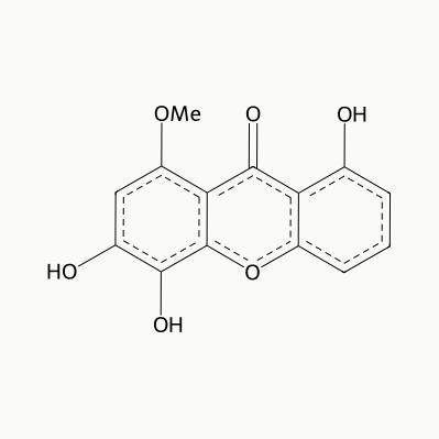 COc1cc(O)c(O)c2oc3cccc(O)c3c(=O)c12